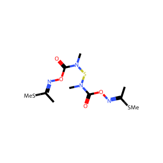 CSC(C)=NOC(=O)N(C)SN(C)C(=O)ON=C(C)SC